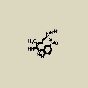 CN(CCCN=[N+]=[N-])C(=N)n1nnc2ccc([N+](=O)[O-])cc21